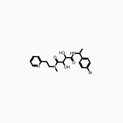 CC(NC(=O)C(O)C(O)C(=O)N(C)CCc1ccccn1)c1ccc(Br)cc1